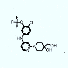 OCC1(O)CCN(c2cc(Nc3ccc(Cl)c(OC(F)(F)F)c3)ccn2)CC1